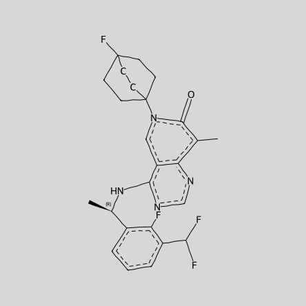 Cc1c(=O)n(C23CCC(F)(CC2)CC3)cc2c(N[C@H](C)c3cccc(C(F)F)c3F)ncnc12